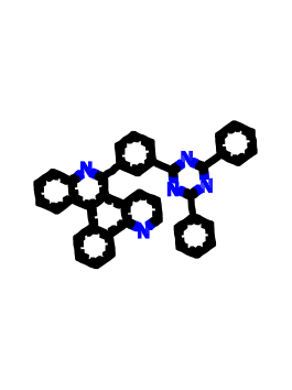 c1ccc(-c2nc(-c3ccccc3)nc(-c3cccc(-c4nc5ccccc5c5c6ccccc6c6ncccc6c45)c3)n2)cc1